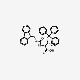 C[C@@H](SC(c1ccccc1)(c1ccccc1)c1ccccc1)[C@H](NC(=O)OCC1c2ccccc2-c2ccccc21)C(=O)O